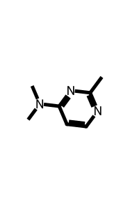 Cc1nccc(N(C)C)n1